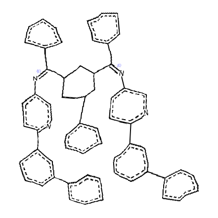 c1ccc(/C(=N/c2ccc(-c3cccc(-c4ccccc4)c3)nc2)C2CC(/C(=N\c3ccc(-c4cccc(-c5ccccc5)c4)nc3)c3ccccc3)CC(c3ccccc3)C2)cc1